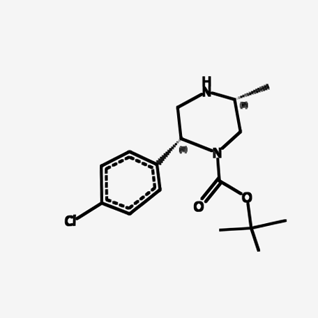 C[C@@H]1CN(C(=O)OC(C)(C)C)[C@H](c2ccc(Cl)cc2)CN1